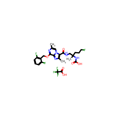 Cc1cn2c(C(=O)NCC(C)(CCCF)NC(=O)O)c(C)nc2c(OCc2c(F)cccc2F)n1.O=C(O)C(F)(F)F